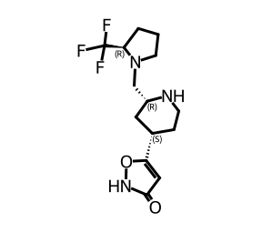 O=c1cc([C@H]2CCN[C@@H](CN3CCC[C@@H]3C(F)(F)F)C2)o[nH]1